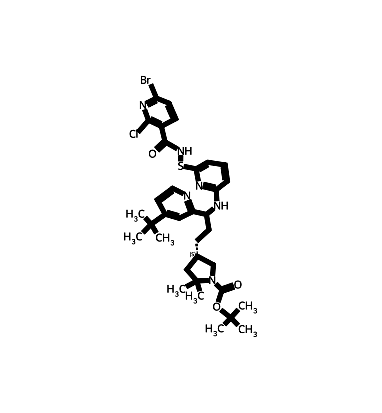 CC(C)(C)OC(=O)N1C[C@@H](CCC(Nc2cccc(SNC(=O)c3ccc(Br)nc3Cl)n2)c2cc(C(C)(C)C)ccn2)CC1(C)C